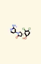 Nc1cc(N2C[C@H](c3c(O)ccc(Cl)c3Cl)CC2=O)ccn1